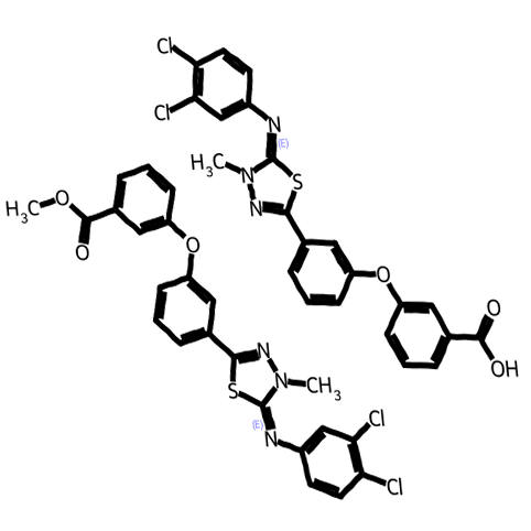 COC(=O)c1cccc(Oc2cccc(-c3nn(C)/c(=N\c4ccc(Cl)c(Cl)c4)s3)c2)c1.Cn1nc(-c2cccc(Oc3cccc(C(=O)O)c3)c2)s/c1=N/c1ccc(Cl)c(Cl)c1